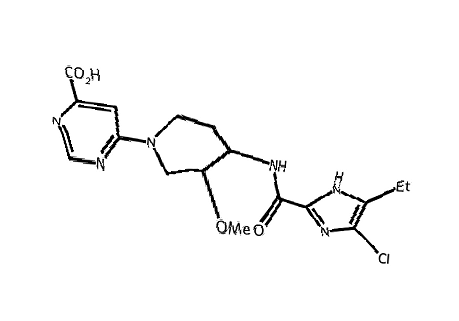 CCc1[nH]c(C(=O)NC2CCN(c3cc(C(=O)O)ncn3)CC2OC)nc1Cl